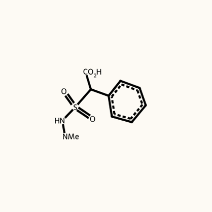 CNNS(=O)(=O)C(C(=O)O)c1ccccc1